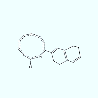 Clc1nccccccc(C2=CC3=C(C=CCC3)CC2)n1